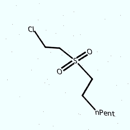 CCCCCCCS(=O)(=O)CCCl